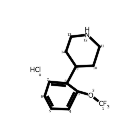 Cl.FC(F)(F)Oc1ccccc1C1CCNCC1